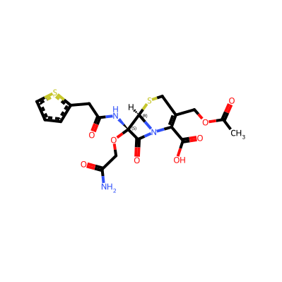 CC(=O)OCC1=C(C(=O)O)N2C(=O)[C@](NC(=O)Cc3cccs3)(OCC(N)=O)[C@H]2SC1